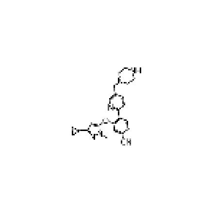 Cn1nc(C2CC2)cc1Oc1cc(C#N)ccc1-c1ccc(CN2CCNCC2)cn1